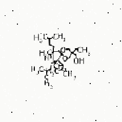 CCC1(CO)COC2(CC(C)(CCC(C)C)NC(C)(CCC(C)C)C2CC(C)C)OC1